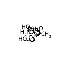 Cc1cn([C@H]2CC[C@@H](CO)O2)c(=O)[nH]c1=O.NP(O)O